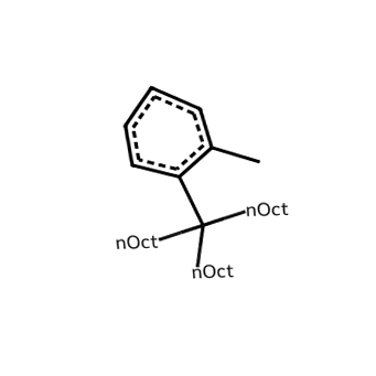 CCCCCCCCC(CCCCCCCC)(CCCCCCCC)c1ccccc1C